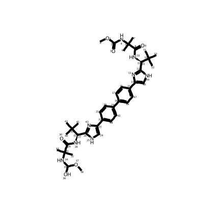 COC(=O)NC(C)(C)C(=O)N[C@H](c1nc(-c2ccc(-c3ccc(-c4c[nH]c([C@@H](NC(=O)C(C)(C)NC(O)OC)C(C)(C)C)n4)cc3)cc2)c[nH]1)C(C)(C)C